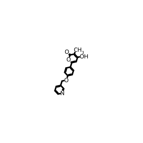 Cc1c(O)cc(-c2ccc(OCc3cccnc3)cc2)oc1=O